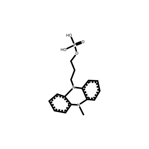 CN1c2ccccc2N(CCCOP(=O)(O)O)c2ccccc21